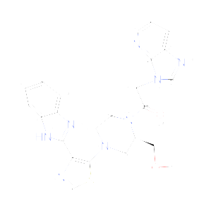 COC[C@H]1CN(c2scnc2-c2nc3ccccc3[nH]2)CCN1C(=O)Cn1cnc2cccnc21